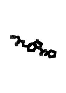 CC1(OC(=O)n2cnc3cc(COC(=O)CS)ccc32)CCCC1